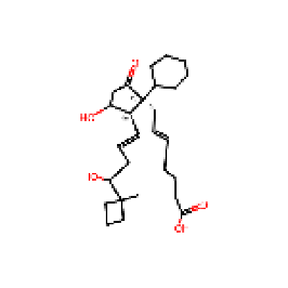 CC1(C(O)CC=C[C@H]2C(O)CC(=O)[C@@]2(CC=CCCCC(=O)O)C2CCCCC2)CCC1